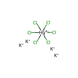 [Cl][Hg-4]([Cl])([Cl])([Cl])([Cl])[Cl].[K+].[K+].[K+].[K+]